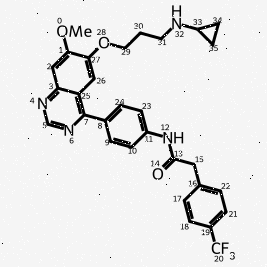 COc1cc2ncnc(-c3ccc(NC(=O)Cc4ccc(C(F)(F)F)cc4)cc3)c2cc1OCCCNC1CC1